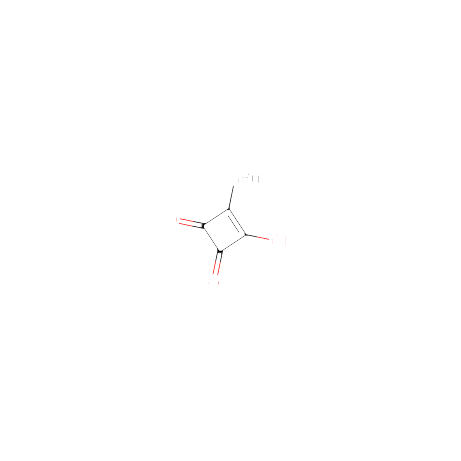 CCCCc1c(O)c(=O)c1=O